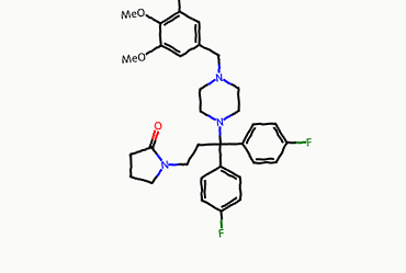 COc1cc(CN2CCN(C(CCN3CCCC3=O)(c3ccc(F)cc3)c3ccc(F)cc3)CC2)cc(OC)c1OC